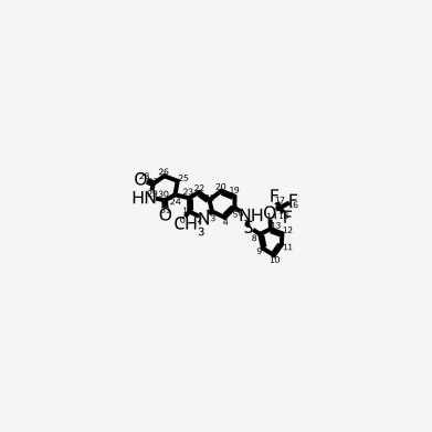 Cc1nc2cc(NSc3ccccc3OC(F)(F)F)ccc2cc1C1CCC(=O)NC1=O